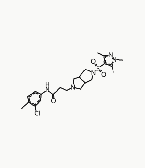 Cc1ccc(NC(=O)CCN2CC3CN(S(=O)(=O)c4c(C)nn(C)c4C)CC3C2)cc1Cl